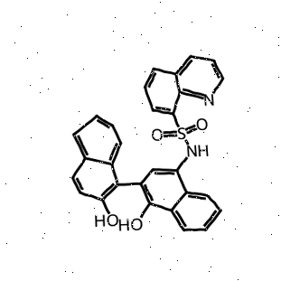 O=S(=O)(Nc1cc(-c2c(O)ccc3ccccc23)c(O)c2ccccc12)c1cccc2cccnc12